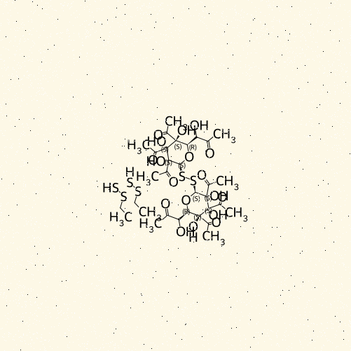 CC(=O)C(O)[C@H]1O[C@@H](SS[C@@H]2O[C@H](C(O)C(C)=O)[C@@](O)(C(C)=O)[C@@](O)(C(C)=O)[C@]2(O)C(C)=O)[C@@](O)(C(C)=O)[C@](O)(C(C)=O)[C@]1(O)C(C)=O.CCSS.CCSS